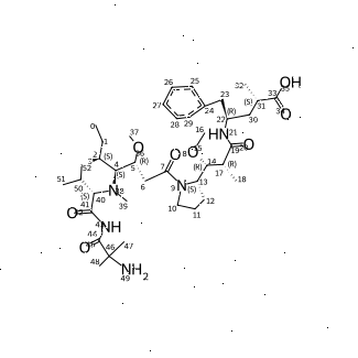 CC[C@H](C)[C@@H]([C@@H](CC(=O)N1CCC[C@H]1[C@H](OC)[C@@H](C)C(=O)N[C@@H](Cc1ccccc1)C[C@H](C)C(=O)O)OC)N(C)[C@H](C(=O)NC(=O)C(C)(C)N)C(C)C